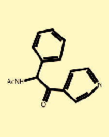 CC(=O)NC(C(=O)c1ccncc1)c1ccccc1